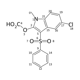 Cn1c(OC(=O)O)c(S(=O)(=O)c2ccccc2)c2cc(Cl)ccc21